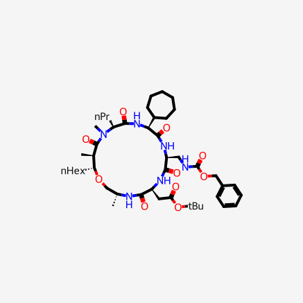 CCCCCC[C@H]1OC[C@@H](C)NC(=O)[C@H](CC(=O)OC(C)(C)C)NC(=O)[C@H](CNC(=O)OCc2ccccc2)NC(=O)[C@H](C2CCCCCC2)NC(=O)[C@H](CCC)N(C)C(=O)[C@@H]1C